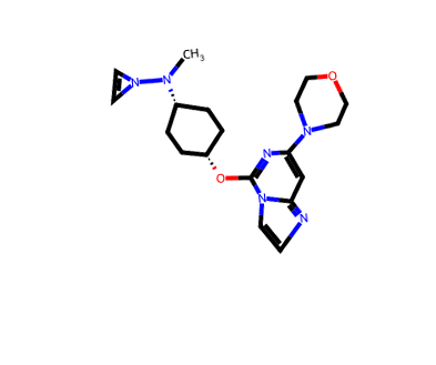 CN([C@H]1CC[C@@H](Oc2nc(N3CCOCC3)cc3nccn23)CC1)N1C=C1